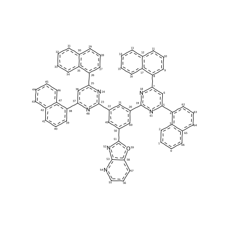 c1ccc2c(-c3cc(-c4cccc5ccccc45)nc(-c4cc(-c5nc(-c6cccc7ccccc67)cc(-c6cccc7ccccc67)n5)cc(-c5nc6ncccc6o5)c4)n3)cccc2c1